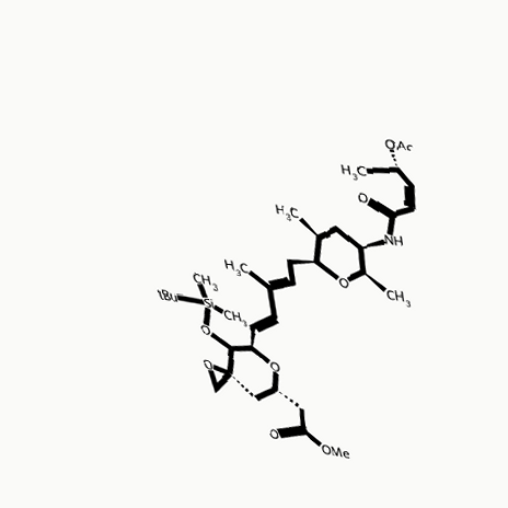 COC(=O)C[C@@H]1C[C@@]2(CO2)C(O[Si](C)(C)C(C)(C)C)[C@@H](/C=C/C(C)=C/C[C@@H]2O[C@H](C)[C@H](NC(=O)/C=C\[C@H](C)OC(C)=O)C[C@@H]2C)O1